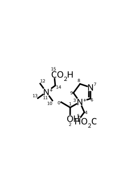 CC(O)[N+]1(CC(=O)O)C=NCC1.C[N+](C)(C)CC(=O)O